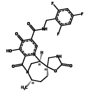 C[C@H]1CC[C@@]2(CNC(=O)O2)[C@H]2CN1C(=O)c1c(O)c(=O)c(C(=O)NCc3c(F)cc(F)cc3F)cn12